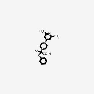 CC(=O)C(Oc1ccccc1)(C(=O)O)N1CCN(c2cc(C)nc(C)c2)CC1